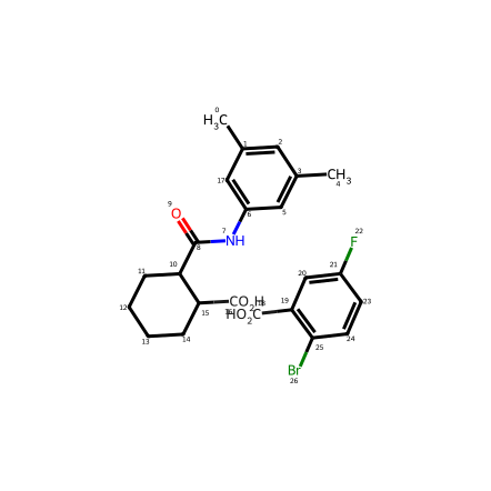 Cc1cc(C)cc(NC(=O)C2CCCCC2C(=O)O)c1.O=C(O)c1cc(F)ccc1Br